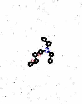 c1ccc(-c2cccc(-c3nc(-c4cccc(-c5ccccc5)c4)nc(-c4ccc5c(c4)oc4c(-c6cccc7c6oc6ccccc67)cccc45)n3)c2)cc1